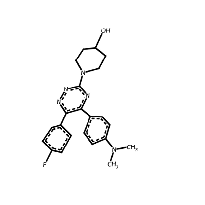 CN(C)c1ccc(-c2nc(N3CCC(O)CC3)nnc2-c2ccc(F)cc2)cc1